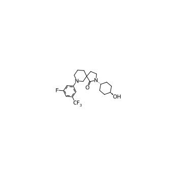 O=C1N([C@H]2CC[C@H](O)CC2)CCC12CCCN(c1cc(F)cc(C(F)(F)F)c1)C2